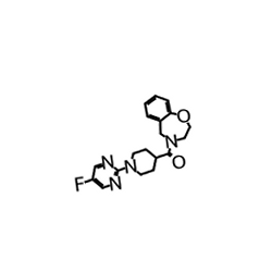 O=C(C1CCN(c2ncc(F)cn2)CC1)N1CCOc2ccccc2C1